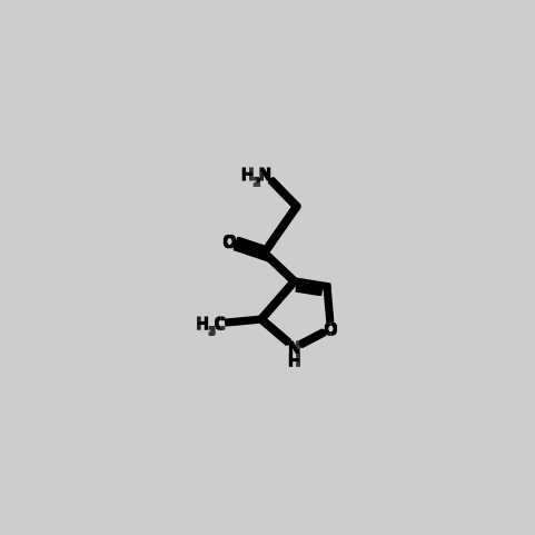 CC1NOC=C1C(=O)CN